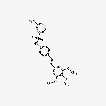 COc1cc(C=Cc2ccc(NS(=O)(=O)c3cccc(N)c3)cc2)cc(OC)c1OC